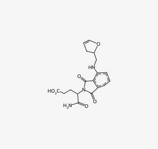 NC(=O)C(CCC(=O)O)N1C(=O)c2cccc(NCC3CC=CO3)c2C1=O